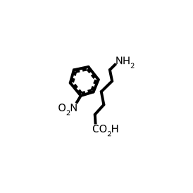 NCCCCCC(=O)O.O=[N+]([O-])c1ccccc1